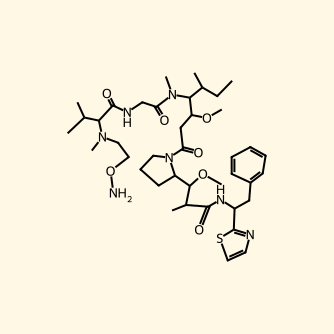 CCC(C)C(C(CC(=O)N1CCCC1C(OC)C(C)C(=O)NC(Cc1ccccc1)c1nccs1)OC)N(C)C(=O)CNC(=O)C(C(C)C)N(C)CCON